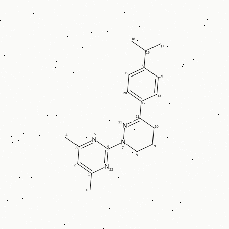 Cc1cc(C)nc(N2CCCC(c3ccc(C(C)C)cc3)=N2)n1